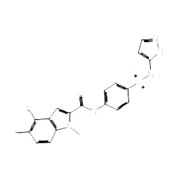 Cn1c(C(=O)Nc2ccc(S(=O)(=O)Nc3ccn[nH]3)cc2)cc2c(Cl)c(Cl)ccc21